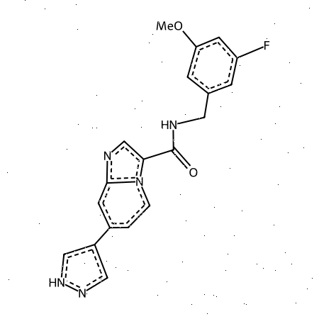 COc1cc(F)cc(CNC(=O)c2cnc3cc(-c4cn[nH]c4)ccn23)c1